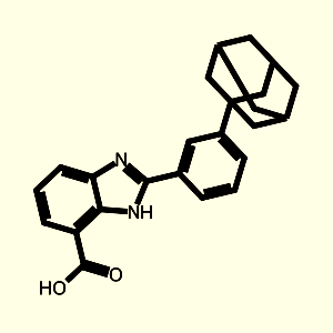 O=C(O)c1cccc2nc(-c3cccc(C45CC6CC(CC(C6)C4)C5)c3)[nH]c12